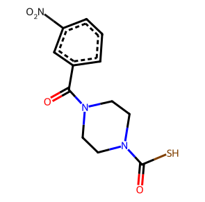 O=C(S)N1CCN(C(=O)c2cccc([N+](=O)[O-])c2)CC1